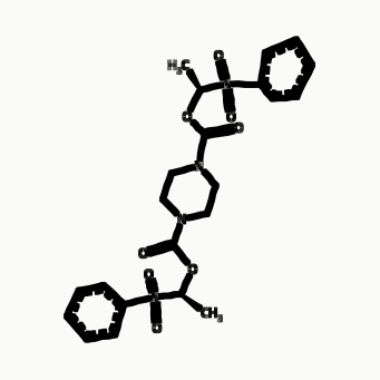 C[C@H](OC(=O)N1CCN(C(=O)O[C@@H](C)S(=O)(=O)c2ccccc2)CC1)S(=O)(=O)c1ccccc1